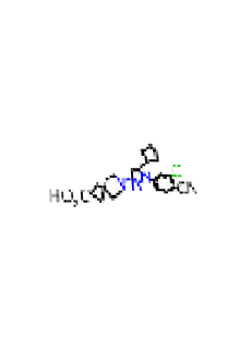 N#Cc1ccc(N2N=C(N3CCC4(CC3)CC(C(=O)O)C4)CC2C2CCCC2)cc1Cl